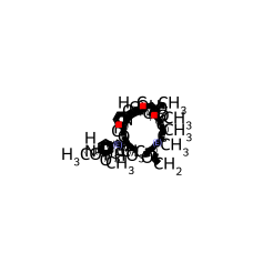 C=CC[C@@H]1/C=C(\C)C[C@H](C)C[C@H](OC)[C@H]2O[C@@](O)(C(=O)C(=O)N3CCCC[C@H]3C(=O)O[C@H](/C(C)=C/[C@@H]3CC[C@@H](ONC)[C@H](OC)C3)[C@H](C)[C@@H](O)CC1=O)[C@H](C)C[C@@H]2OC